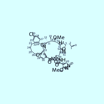 C=CC[C@H]1C[C@@H]2C[C@H](OC)[C@H](C)[C@@H](C)CN3Cc4ccc(Cl)cc4CCCCOc4ccc(cc43)C(=O)N=S(=O)(NC(=O)c3cn(C)nc3OC)C[C@@H](C)[C@H]2O1